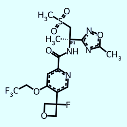 Cc1nc([C@](C)(CS(C)(=O)=O)NC(=O)c2cc(OCC(F)(F)F)c(C3(F)COC3)cn2)no1